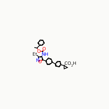 CCc1noc(-c2ccc(-c3ccc(C4(C(=O)O)CC4)cc3)cc2)c1NC(=O)OC(C)c1ccccc1